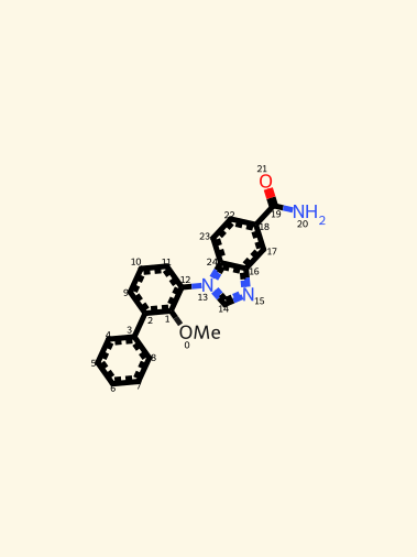 COc1c(-c2ccccc2)cccc1-n1cnc2cc(C(N)=O)ccc21